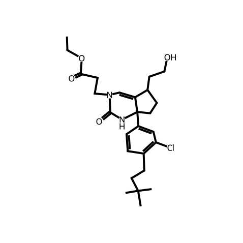 CCOC(=O)CCN1C=C2C(CCO)CCC2(c2ccc(CCC(C)(C)C)c(Cl)c2)NC1=O